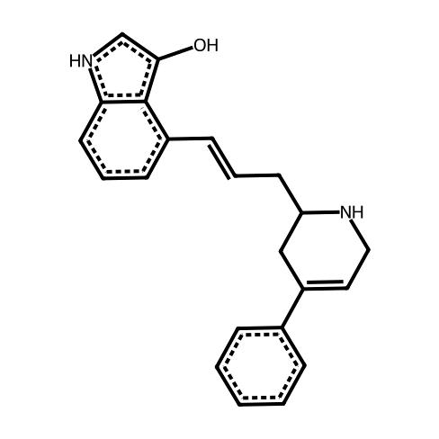 Oc1c[nH]c2cccc(/C=C/CC3CC(c4ccccc4)=CCN3)c12